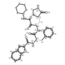 O=C(NC1CCCCC1)C(=O)[C@H](C[C@@H]1CCNC1=O)NC(=O)[C@H](Cc1ccccc1)NC(=O)c1cc2ccccc2o1